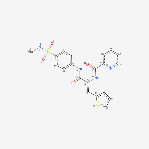 CC(C)(C)NS(=O)(=O)c1ccc(NC(=O)[C@H](Cc2cccs2)NC(=O)c2ccccn2)cc1